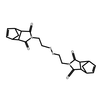 O=C1C2C3C=CC(C3)C2C(=O)N1CCSSCCN1C(=O)C2C3C=CC(C3)C2C1=O